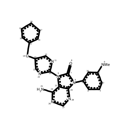 CNc1cccc(-n2c(=O)n(-c3ncc(Oc4ccccc4)cn3)c3c(N)ncnc32)c1